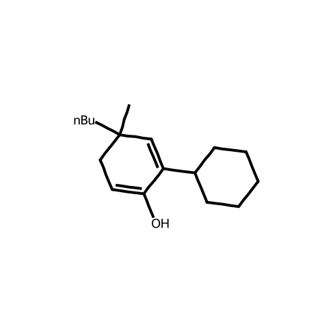 CCCCC1(C)C=C(C2CCCCC2)C(O)=CC1